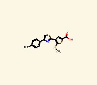 CSc1sc(C(=O)O)cc1-c1nc(-c2ccc(C)cc2)cs1